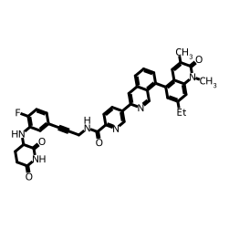 CCc1cc(-c2cccc3cc(-c4ccc(C(=O)NCC#Cc5ccc(F)c(NC6CCC(=O)NC6=O)c5)nc4)ncc23)c2cc(C)c(=O)n(C)c2c1